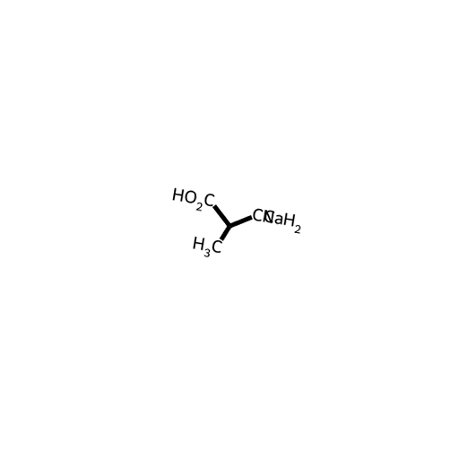 CC(C#N)C(=O)O.[CaH2]